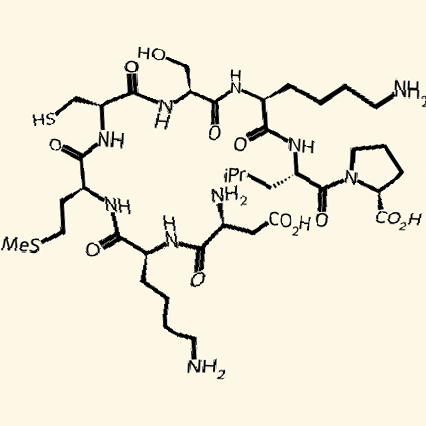 CSCC[C@H](NC(=O)[C@H](CCCCN)NC(=O)[C@@H](N)CC(=O)O)C(=O)N[C@@H](CS)C(=O)N[C@@H](CO)C(=O)N[C@@H](CCCCN)C(=O)N[C@@H](CC(C)C)C(=O)N1CCC[C@H]1C(=O)O